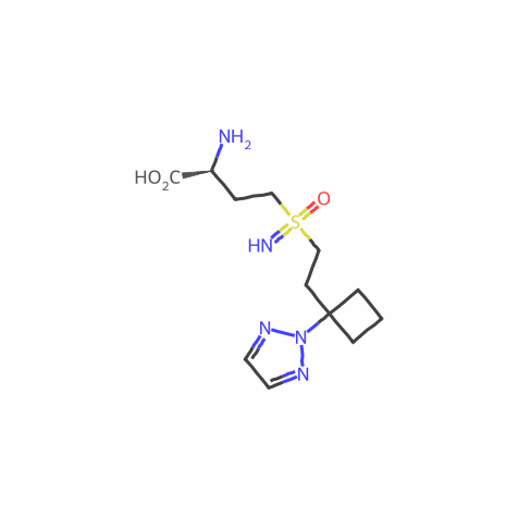 N=S(=O)(CC[C@H](N)C(=O)O)CCC1(n2nccn2)CCC1